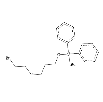 CC(C)(C)[Si](OCC/C=C\CCBr)(c1ccccc1)c1ccccc1